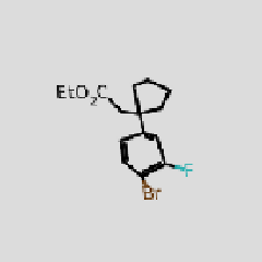 CCOC(=O)CC1(c2ccc(Br)c(F)c2)CCCC1